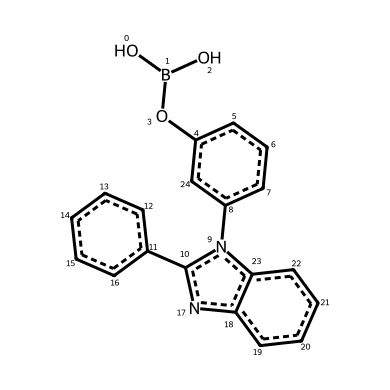 OB(O)Oc1cccc(-n2c(-c3ccccc3)nc3ccccc32)c1